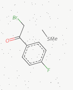 CSC.O=C(CBr)c1ccc(F)cc1